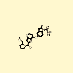 CNC(=O)n1c(C)cc2cc(Oc3ccnc4cc(C(=O)N5CCCC5COC)sc34)ccc21